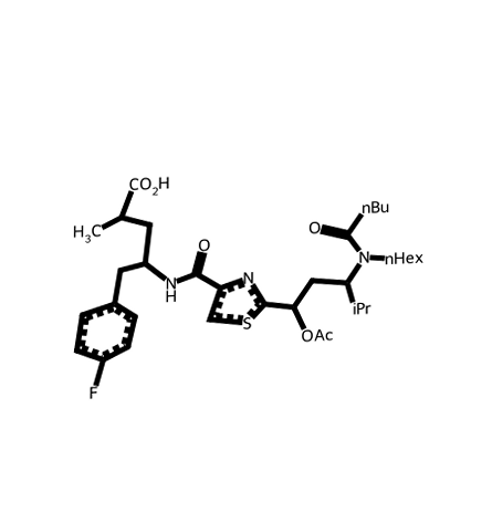 CCCCCCN(C(=O)CCCC)C(CC(OC(C)=O)c1nc(C(=O)NC(Cc2ccc(F)cc2)CC(C)C(=O)O)cs1)C(C)C